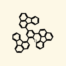 Clc1c(-c2ccc3cccc4c3c2-c2ccccc2-4)cc(-c2ccc3cccc4c3c2-c2ccccc2-4)cc1-c1ccc2cccc3c2c1-c1ccccc1-3